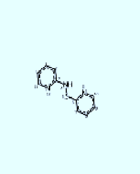 c1ccc(NSc2ccccn2)nc1